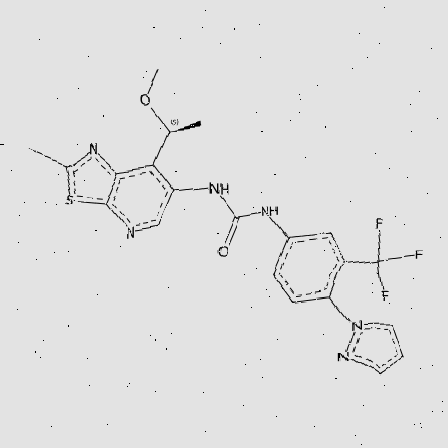 CO[C@@H](C)c1c(NC(=O)Nc2ccc(-n3cccn3)c(C(F)(F)F)c2)cnc2sc(C)nc12